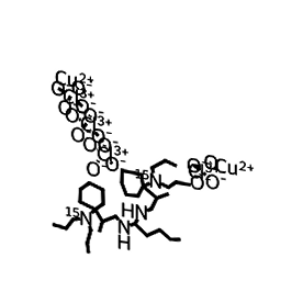 CCCCC(NCC(C)C1([15N](CCC)CCC)CCCCC1)NCC(C)C1([15N](CCC)CCC)CCCCC1.[Cu+2].[Cu+2].[O-][Cl+3]([O-])([O-])[O-].[O-][Cl+3]([O-])([O-])[O-].[O-][Cl+3]([O-])([O-])[O-].[O-][Cl+3]([O-])([O-])[O-]